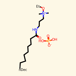 CCCCCCCCCCCCCCCCCC(=O)NCCC[N+](C)(C)OCC.O=P([O-])(O)O